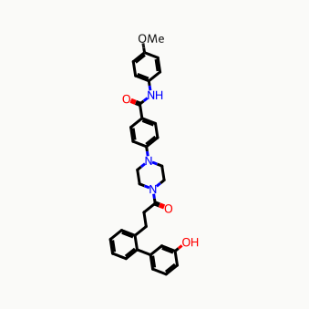 COc1ccc(NC(=O)c2ccc(N3CCN(C(=O)CCc4ccccc4-c4cccc(O)c4)CC3)cc2)cc1